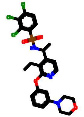 CCc1c(C(C)NS(=O)(=O)c2ccc(Cl)c(Cl)c2Cl)ccnc1Oc1cccc(N2CCOCC2)c1